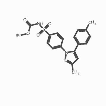 Cc1ccc(-c2cc(C)nn2-c2ccc(S(=O)(=O)NC(=O)OC(C)C)cc2)cc1